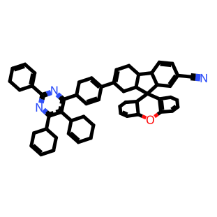 N#CC1=CC2C(C=C1)C1CC=C(C3=CCC(c4nc(C5=CC=CCC5)nc(C5CC=CCC5)c4C4C=CCCC4)C=C3)CC1C21C2=C(C=CCC2)OC2C=CCCC21